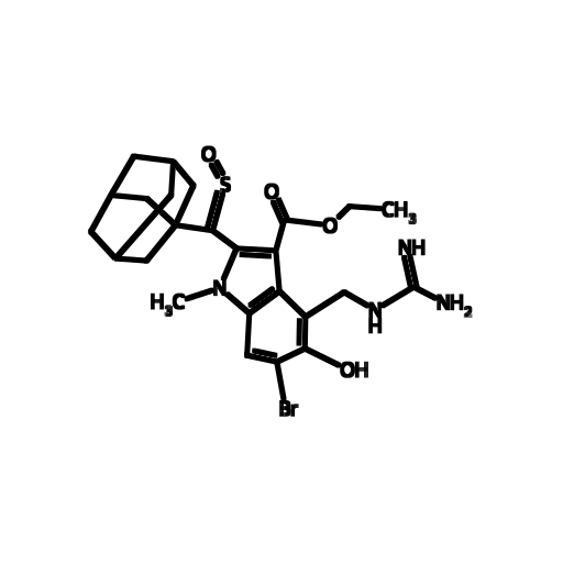 CCOC(=O)c1c(C(=S=O)C23CC4CC(CC(C4)C2)C3)n(C)c2cc(Br)c(O)c(CNC(=N)N)c12